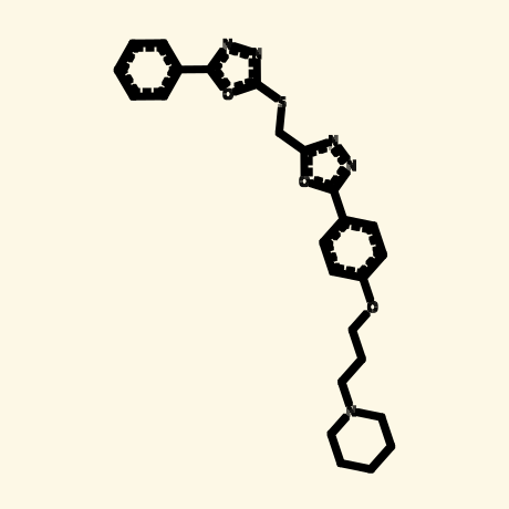 c1ccc(-c2nnc(SCc3nnc(-c4ccc(OCCCN5CCCCC5)cc4)o3)o2)cc1